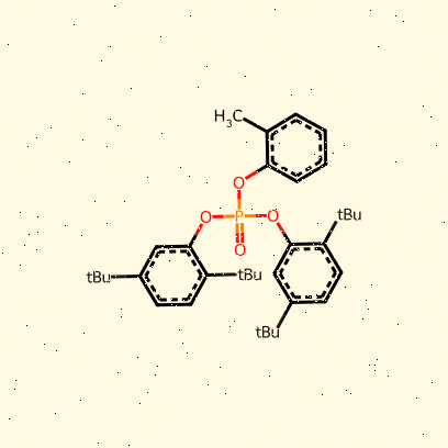 Cc1ccccc1OP(=O)(Oc1cc(C(C)(C)C)ccc1C(C)(C)C)Oc1cc(C(C)(C)C)ccc1C(C)(C)C